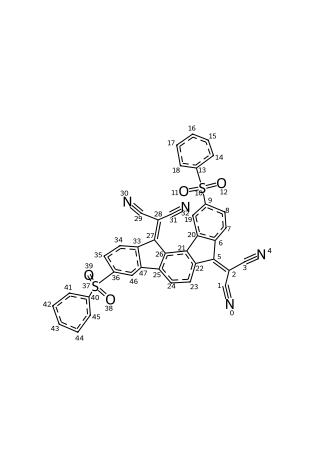 N#CC(C#N)=C1c2ccc(S(=O)(=O)c3ccccc3)cc2-c2c1ccc1c2C(=C(C#N)C#N)c2ccc(S(=O)(=O)c3ccccc3)cc2-1